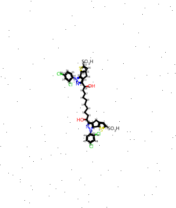 O=S(=O)(O)c1cc2c(s1)-c1c(c(C(O)CCCCCCCCC(O)c3nn(-c4ccc(Cl)cc4Cl)c4c3Cc3cc(S(=O)(=O)O)sc3-4)nn1-c1ccc(Cl)cc1Cl)C2